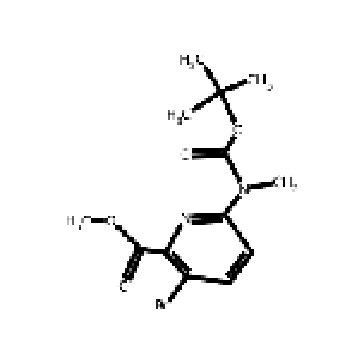 COC(=O)c1nc(N(C)C(=O)OC(C)(C)C)ccc1Br